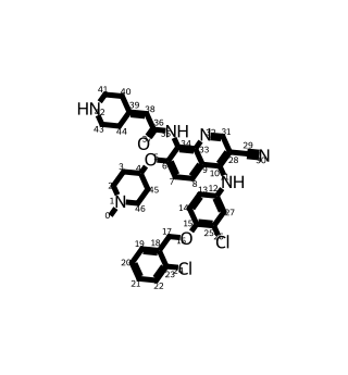 CN1CCC(Oc2ccc3c(Nc4ccc(OCc5ccccc5Cl)c(Cl)c4)c(C#N)cnc3c2NC(=O)C=C2CCNCC2)CC1